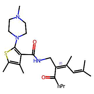 CCCC(=O)/C(CNC(=O)c1c(N2CCN(C)CC2)sc(C)c1C)=C(/C)C=C(C)C